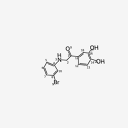 O=C(CNc1cccc(Br)c1)c1ccc(O)c(O)c1